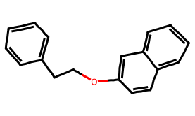 c1ccc(CCOc2ccc3ccccc3c2)cc1